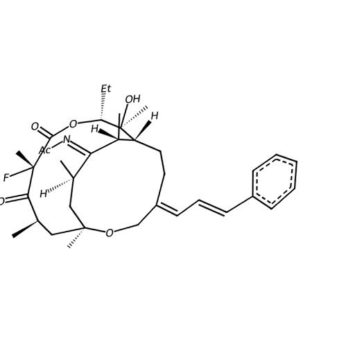 CC[C@H]1OC(=O)[C@@](C)(F)C(=O)[C@H](C)C[C@@]2(C)C[C@@H](C)/C(=N\C(C)=O)[C@H](C)[C@@H](CC/C(=C\C=C\c3ccccc3)CO2)[C@]1(C)O